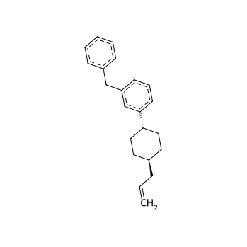 C=CC[C@H]1CC[C@H](c2cc[c]c(Cc3ccccc3)c2)CC1